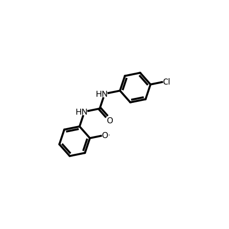 [O]c1ccccc1NC(=O)Nc1ccc(Cl)cc1